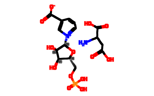 NC(CC(=O)O)C(=O)O.O=C([O-])c1ccc[n+]([C@@H]2O[C@H](COP(=O)(O)O)[C@@H](O)[C@H]2O)c1